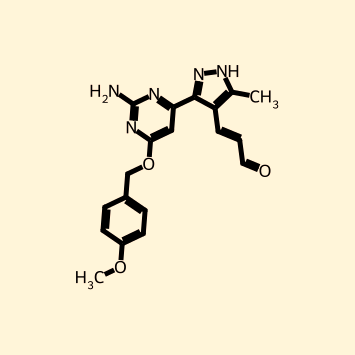 COc1ccc(COc2cc(-c3n[nH]c(C)c3/C=C/C=O)nc(N)n2)cc1